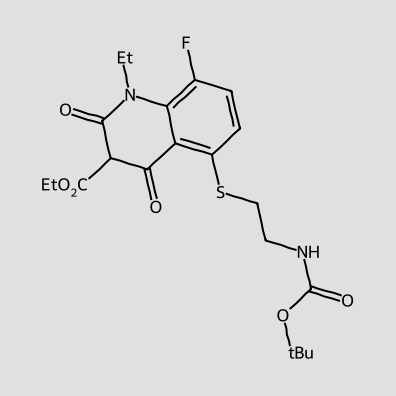 CCOC(=O)C1C(=O)c2c(SCCNC(=O)OC(C)(C)C)ccc(F)c2N(CC)C1=O